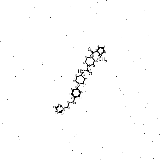 Cn1cccc1C(=O)N1CCN(C(=O)NC2CCN(c3ccc(CCCn4cncn4)cc3)CC2)CC1